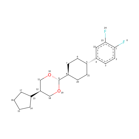 Fc1ccc([C@H]2CC[C@H]([C@H]3OC[C@H](C4CCCC4)CO3)CC2)cc1F